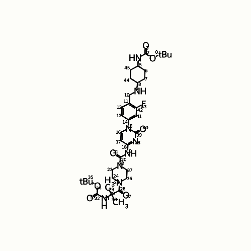 CC(C)(C)OC(=O)NC1CCC(NCc2ccc(-n3ccc(NC(=O)N4CCN(C(=O)C(C)(C)NC(=O)OC(C)(C)C)CC4)nc3=O)cc2F)CC1